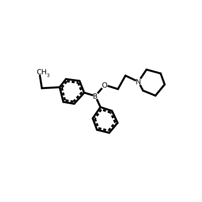 CCc1ccc(B(OCCN2CCCCC2)c2ccccc2)cc1